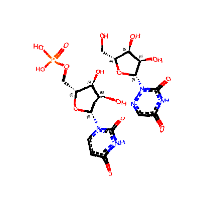 O=c1ccn([C@@H]2O[C@H](COP(=O)(O)O)[C@@H](O)[C@H]2O)c(=O)[nH]1.O=c1cnn([C@@H]2O[C@H](CO)[C@@H](O)[C@H]2O)c(=O)[nH]1